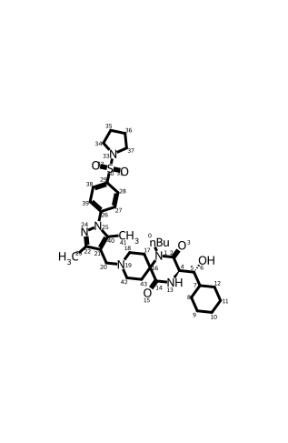 CCCCN1C(=O)[C@@H]([C@H](O)C2CCCCC2)NC(=O)C12CCN(Cc1c(C)nn(-c3ccc(S(=O)(=O)N4CCCC4)cc3)c1C)CC2